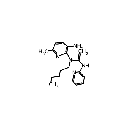 C=C(Nc1ccccn1)N(CCCCC)c1nc(C)ccc1N